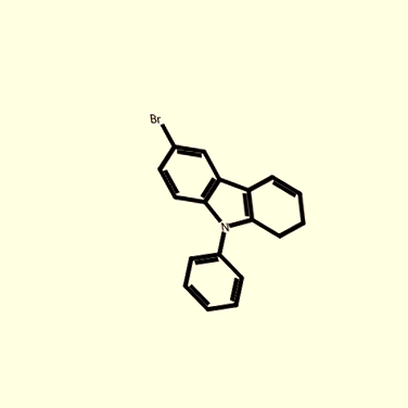 Brc1ccc2c(c1)c1c(n2-c2ccccc2)CCC=C1